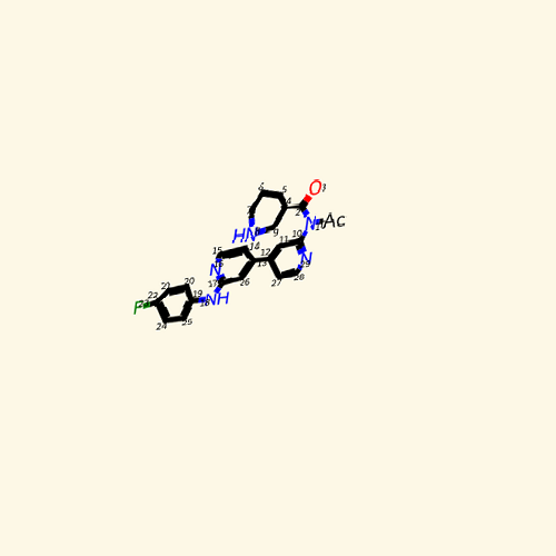 CC(=O)N(C(=O)[C@@H]1CCCNC1)c1cc(-c2ccnc(Nc3ccc(F)cc3)c2)ccn1